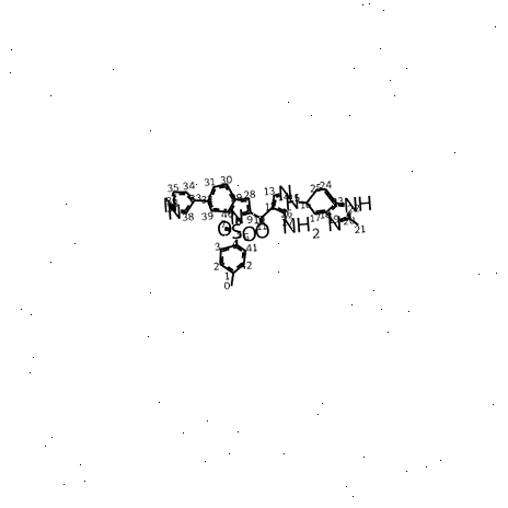 Cc1ccc(S(=O)(=O)n2c(C(=O)c3cnn(C4C=c5nc(C)[nH]c5=CC4)c3N)cc3ccc(-c4ccnnc4)cc32)cc1